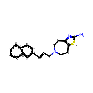 Nc1nc2c(s1)CCN(CC=Cc1ccc3ccccc3c1)CC2